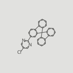 Clc1cnc(-c2ccc3c(c2)C2(c4ccccc4-c4ccccc42)c2ccccc2-3)nc1